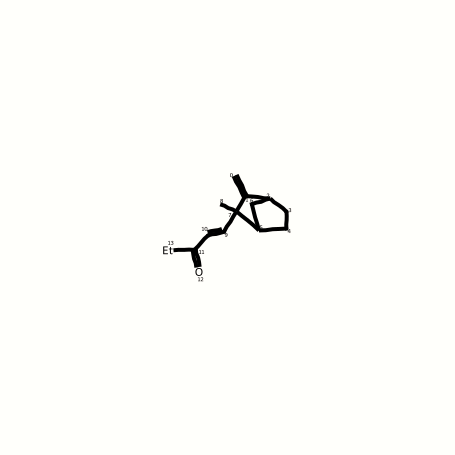 C=C1C2CCC(C2)C1(C)C=CC(=O)CC